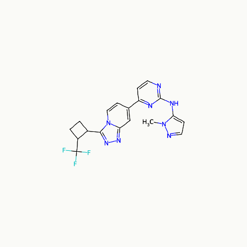 Cn1nccc1Nc1nccc(-c2ccn3c(C4CCC4C(F)(F)F)nnc3c2)n1